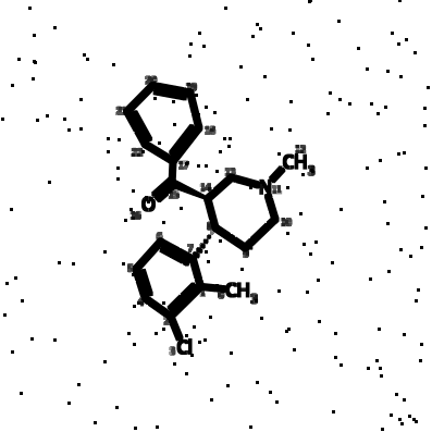 Cc1c(Cl)cccc1[C@H]1[CH]CN(C)C[C@@H]1C(=O)c1ccccc1